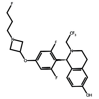 Oc1ccc2c(c1)CCN(CC(F)(F)F)[C@@H]2c1c(F)cc(OC2CN(CCCF)C2)cc1F